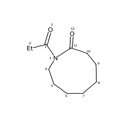 CCC(=O)N1CCCCCCCC1=O